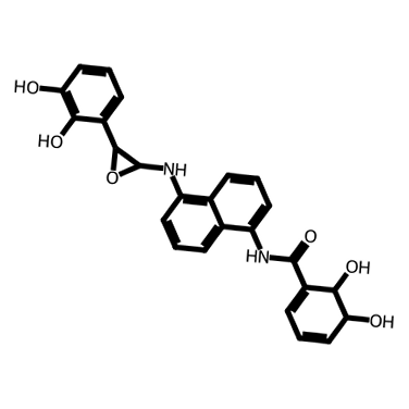 O=C(Nc1cccc2c(NC3OC3c3cccc(O)c3O)cccc12)C1=CC=CC(O)C1O